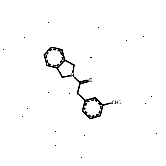 O=Cc1cccc(CC(=O)N2Cc3ccccc3C2)c1